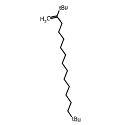 C=C(CCCCCCCCCCCCC(C)(C)C)C(C)(C)C